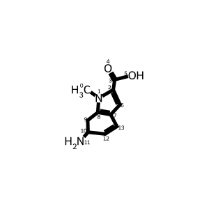 Cn1c(C(=O)O)cc2c1CC(N)C=C2